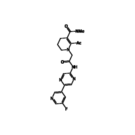 CNC(=O)C1=C(C(C)=O)N(CC(=O)Nc2cnc(-c3cncc(F)c3)cn2)CCC1